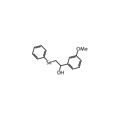 COc1cccc(C(O)C[Se]c2ccccc2)c1